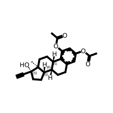 C#C[C@]1(O)CC[C@H]2[C@H]3CCc4cc(OC(C)=O)cc(OC(C)=O)c4[C@H]3CC[C@@]21C